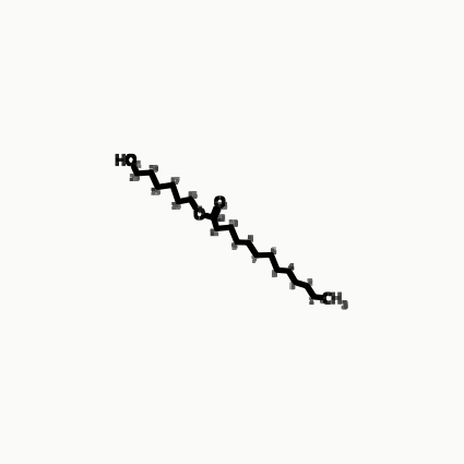 CCCCCCCCCCCCC(=O)OCCCCCCO